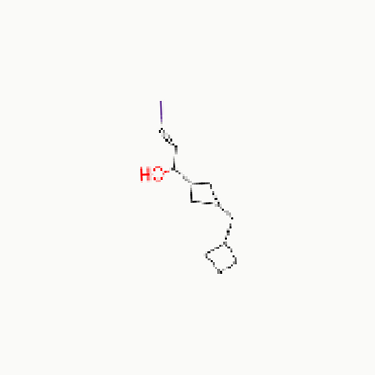 OC(/C=C/I)C1CC(CC2CCC2)C1